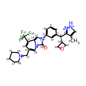 Cc1c[nH]nc1[C@H](c1cccc(-n2cc3c(C(F)(F)F)cc(CN4CCCCC4)cn3c2=O)c1)C1COC1